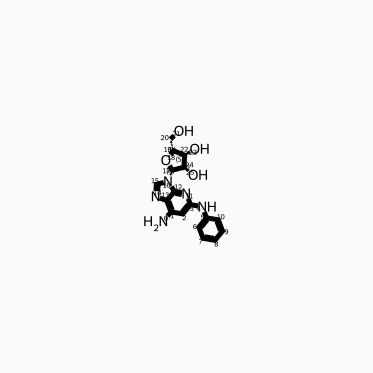 Nc1cc(Nc2ccccc2)nc2c1ncn2[C@@H]1O[C@H](CO)[C@@H](O)[C@H]1O